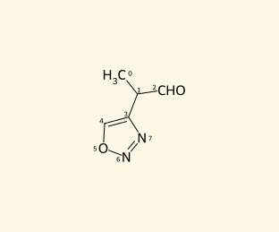 CC(C=O)c1conn1